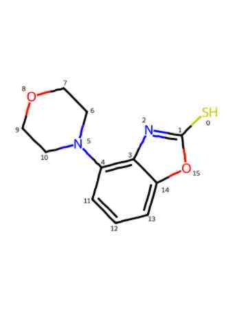 Sc1nc2c(N3CCOCC3)cccc2o1